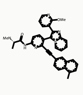 CN[C@@H](C)C(=O)Nc1ccc(-c2c(-c3cccnc3OC)nc3ccccn23)c(C#Cc2ccc3c(C)cccc3c2)n1